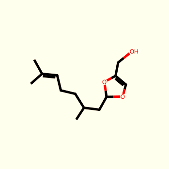 CC(C)=CCCC(C)CC1OC=C(CO)O1